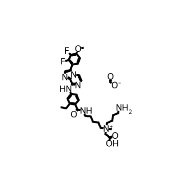 CCc1cc(Nc2nccn3c(-c4ccc(OC)c(F)c4F)cnc23)ccc1C(=O)NCCCCC[N+](C)(CCCCN)CC(=O)O.O=C[O-]